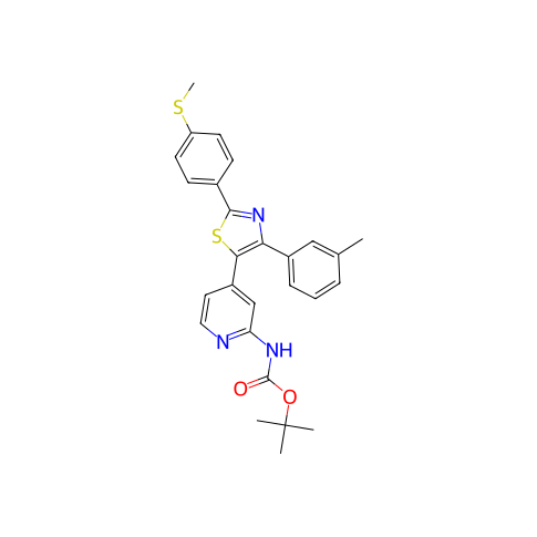 CSc1ccc(-c2nc(-c3cccc(C)c3)c(-c3ccnc(NC(=O)OC(C)(C)C)c3)s2)cc1